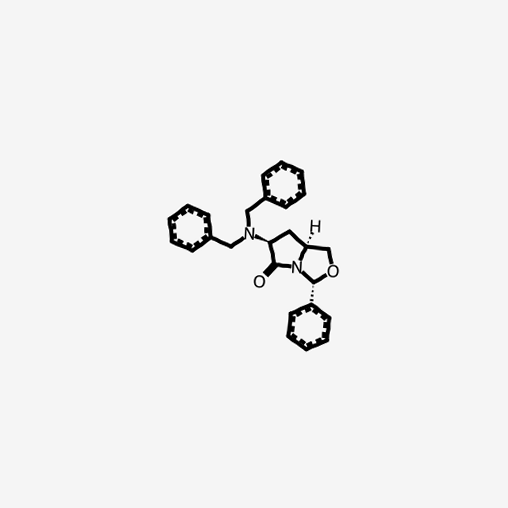 O=C1[C@@H](N(Cc2ccccc2)Cc2ccccc2)C[C@H]2CO[C@H](c3ccccc3)N12